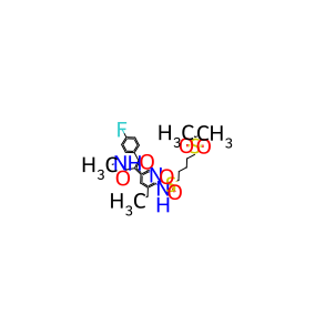 CCc1cc2c(C(=O)NC)c(-c3ccc(F)cc3)oc2nc1NS(=O)(=O)CCCCCS(=O)(=O)C(C)C